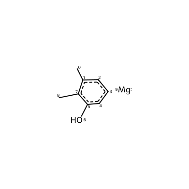 Cc1cccc(O)c1C.[Mg]